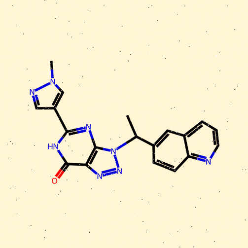 CC(c1ccc2ncccc2c1)n1nnc2c(=O)[nH]c(-c3cnn(C)c3)nc21